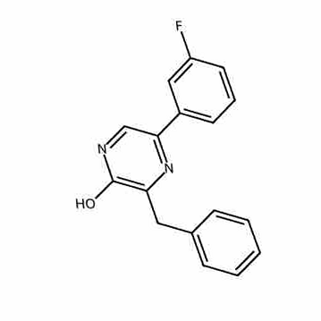 Oc1ncc(-c2cccc(F)c2)nc1Cc1ccccc1